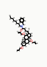 C=CCO[C@@H]1CC[C@@]2(C)C(C1)C[C@@H](OCC=C)C1[C@@H]3CCC([C@@H](C)CCC(=O)N(CCCCCCCC)Cc4ccccc4)[C@@]3(C)[C@@H](OCC=C)C[C@@H]12